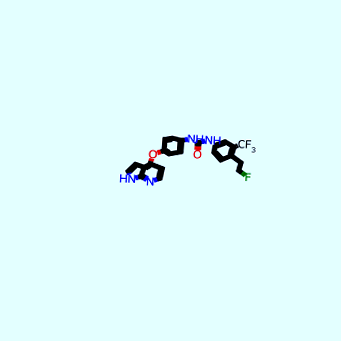 O=C(Nc1ccc(Oc2ccnc3[nH]ccc23)cc1)Nc1ccc(CCF)c(C(F)(F)F)c1